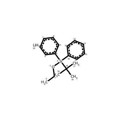 [CH2]CO[Si](c1ccccc1)(c1ccccc1)C(C)(C)C.[LiH]